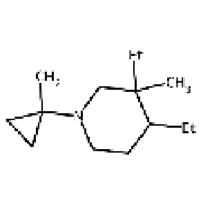 CCC1CCN(C2(C)CC2)CC1(C)CC